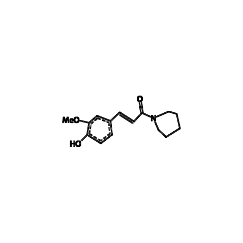 COc1cc(C=CC(=O)N2CCCCC2)ccc1O